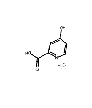 O.O=C(O)c1cc(O)ccn1